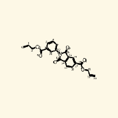 C=CCOC(=O)c1cccc(N2C(=O)c3ccc(C(=O)OCC=C)cc3C2=O)c1